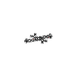 N#CC(C#N)=C1c2cc(-c3ccc(C(F)(F)F)cc3)ccc2-c2nc3cc4nc5c(nc4cc3nc21)-c1ccc(-c2ccc(C(F)(F)F)cc2)cc1C5=C(C#N)C#N